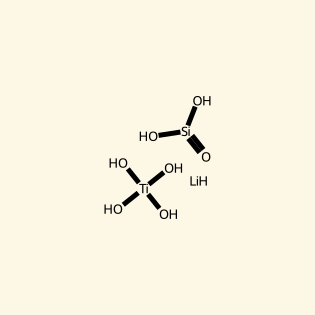 O=[Si](O)O.[LiH].[OH][Ti]([OH])([OH])[OH]